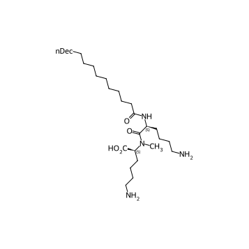 CCCCCCCCCCCCCCCCCCCC(=O)N[C@@H](CCCCN)C(=O)N(C)[C@@H](CCCCN)C(=O)O